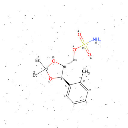 CCC1(CC)O[C@H](c2ccccc2C)[C@@H](COS(N)(=O)=O)O1